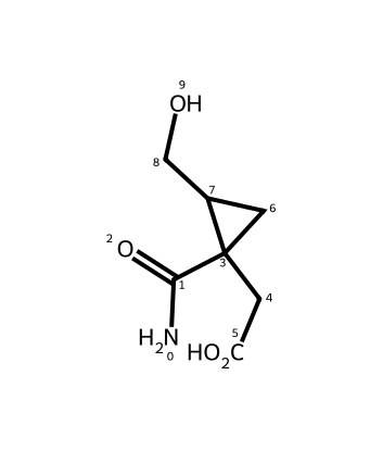 NC(=O)C1(CC(=O)O)CC1CO